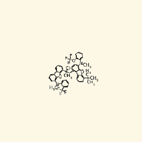 CN(c1ccccc1C(F)(F)F)c1cccc2c1oc1c(C(C)(C)Cc3ccc(N(C)c4ccccc4OC(F)(F)F)c4oc5c(C(C)(C)C)cccc5c34)cccc12